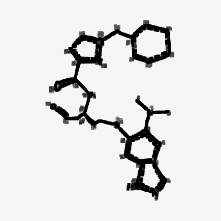 CN(C)c1cc2cn[nH]c2cc1SC[C@@H](C=O)NC(=O)c1ncn(Cc2ccccc2)n1